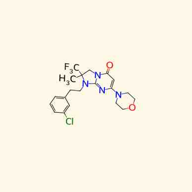 CC1(C(F)(F)F)Cn2c(nc(N3CCOCC3)cc2=O)N1CCc1cccc(Cl)c1